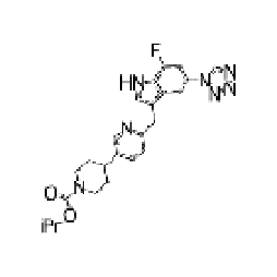 CC(C)OC(=O)N1CCC(c2ccc(Cc3c[nH]c4c(F)cc(-n5cnnn5)cc34)nc2)CC1